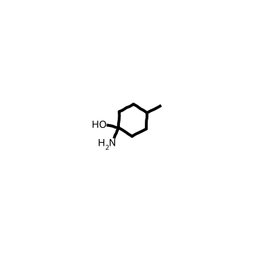 CC1CCC(N)(O)CC1